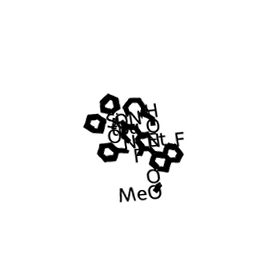 CCc1c(F)ccc2cc(OCOC)cc(-c3nc4c5c(c(O[Si](c6ccccc6)(c6ccccc6)C(C)(C)C)c(=O)n(Cc6ccccc6)c5c3F)N3CCCCC[C@H]3CO4)c12